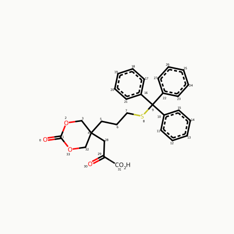 O=C1OCC(CCCSC(c2ccccc2)(c2ccccc2)c2ccccc2)(CC(=O)C(=O)O)CO1